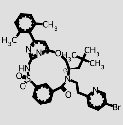 Cc1cccc(C)c1-c1cc2nc(n1)NS(=O)(=O)c1cccc(c1)C(=O)N(CCc1ccc(Br)cn1)[C@H](CC(C)(C)C)CO2